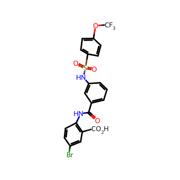 O=C(Nc1ccc(Br)cc1C(=O)O)c1cccc(NS(=O)(=O)c2ccc(OC(F)(F)F)cc2)c1